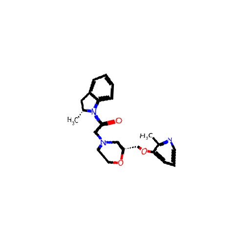 Cc1ncccc1OC[C@H]1CN(CC(=O)N2c3ccccc3C[C@H]2C)CCO1